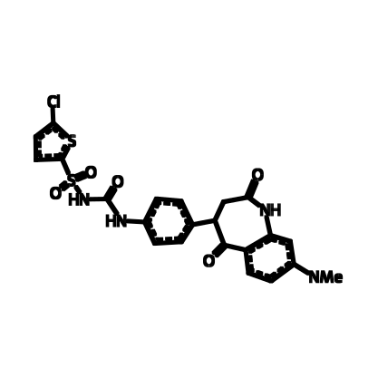 CNc1ccc2c(c1)NC(=O)CC(c1ccc(NC(=O)NS(=O)(=O)c3ccc(Cl)s3)cc1)C2=O